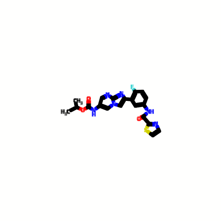 CC(C)OC(=O)Nc1cnc2nc(-c3cc(NC(=O)c4nccs4)ccc3F)cn2c1